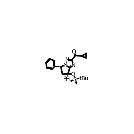 [2H][C@@]1(O[Si](C)(C)C(C)(C)C)C[C@@H](c2ccccc2)n2nc(C(=O)C3CC3)nc21